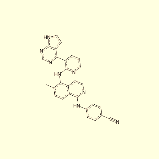 Cc1ccc2c(Nc3ccc(C#N)cc3)nccc2c1Nc1ncccc1-c1ncnc2[nH]ccc12